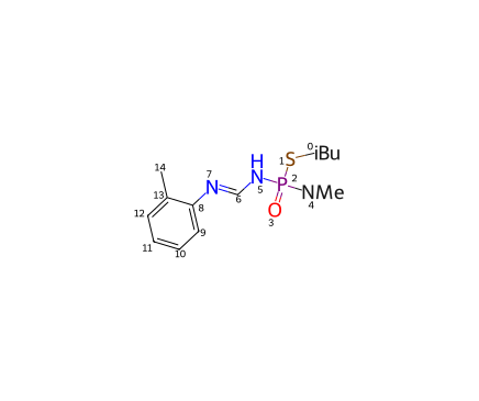 CCC(C)SP(=O)(NC)NC=Nc1ccccc1C